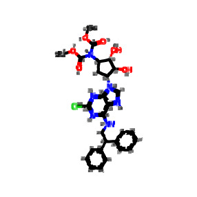 CC(C)(C)OC(=O)N(C(=O)OC(C)(C)C)C1C[C@@H](n2cnc3c(NCC(c4ccccc4)c4ccccc4)nc(Cl)nc32)[C@H](O)[C@H]1O